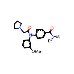 CCN(CC)C(=O)c1ccc(N(C(=O)CN2CCCC2)c2cccc(OC)c2)cc1